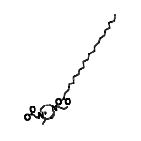 CCCCCCCCCCCCCCCCCCCCCC(=O)OC(CC)N1C#C/C(C)=[N+](/CC(=O)[O-])CCC1